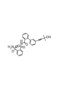 CC(C)(O)C#Cc1cccc(-c2ccccc2C(=O)NS(=O)(=O)c2ccccc2S(N)(=O)=O)c1